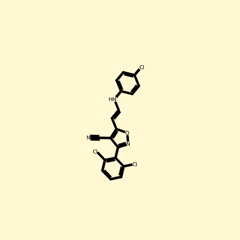 N#Cc1c(-c2c(Cl)cccc2Cl)noc1/C=C/Nc1ccc(Cl)cc1